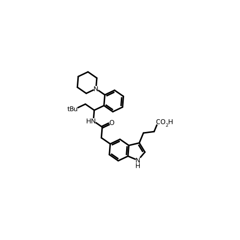 CC(C)(C)CC(NC(=O)Cc1ccc2[nH]cc(CCC(=O)O)c2c1)c1ccccc1N1CCCCC1